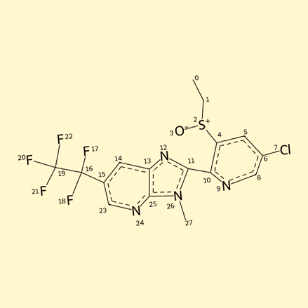 CC[S+]([O-])c1cc(Cl)cnc1-c1nc2cc(C(F)(F)C(F)(F)F)cnc2n1C